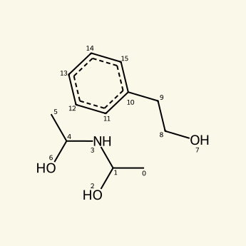 CC(O)NC(C)O.OCCc1ccccc1